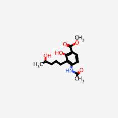 COC(=O)c1ccc(NC(C)=O)c(CCCC(C)O)c1O